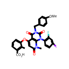 COc1ccc(Cn2c(=O)c3c(Oc4cccc(C(=O)O)c4C)cc(=O)n(C)c3n(-c3ccc(I)cc3F)c2=O)cc1